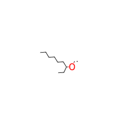 [CH2]OC(CC)CCCCCC